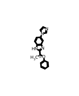 C[C@H](Oc1ccccc1)c1nc2cc(-n3ccnc3)ccc2[nH]1